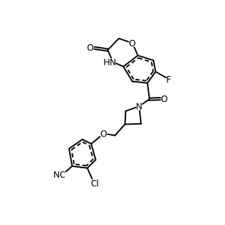 N#Cc1ccc(OCC2CN(C(=O)c3cc4c(cc3F)OCC(=O)N4)C2)cc1Cl